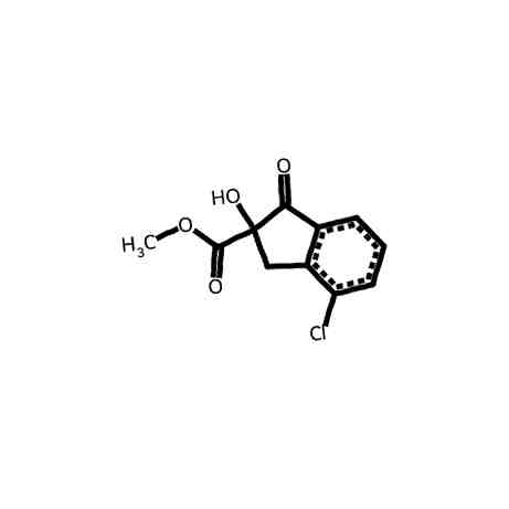 COC(=O)C1(O)Cc2c(Cl)cccc2C1=O